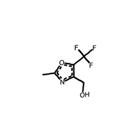 Cc1nc(CO)c(C(F)(F)F)o1